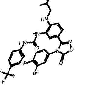 CC(C)CNc1ccc(-c2noc(=O)n2-c2ccc(F)c(Br)c2)cc1NC(=O)Nc1ccc(C(F)(F)F)cc1